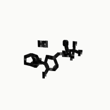 Cl.O=C(NCc1ccc(F)c(C2CC3CCC(C2)N3)c1)C(F)(F)F